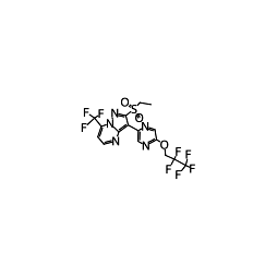 CCS(=O)(=O)c1nn2c(C(F)(F)F)ccnc2c1-c1cnc(OCC(F)(F)C(F)(F)F)cn1